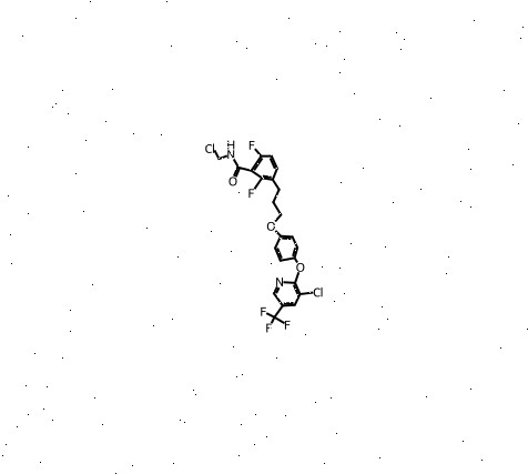 O=C(NCCl)c1c(F)ccc(CCCOc2ccc(Oc3ncc(C(F)(F)F)cc3Cl)cc2)c1F